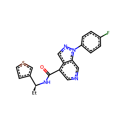 CC[C@H](NC(=O)c1cncc2c1cnn2-c1ccc(F)cc1)c1ccsc1